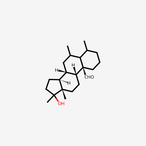 CC1CCC[C@@]2(C=O)C1C(C)C[C@@H]1[C@H]2CC[C@@]2(C)[C@H]1CCC2(C)O